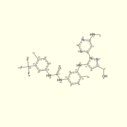 CNc1cc(-n2nc(CO)cc2Nc2cc(NC(=O)Nc3ccc(C)c(C(F)(F)F)c3)ccc2C)ncn1